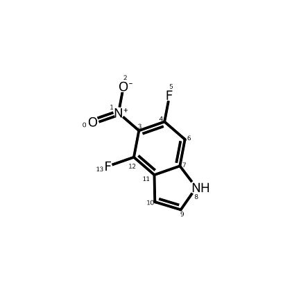 O=[N+]([O-])c1c(F)cc2[nH]ccc2c1F